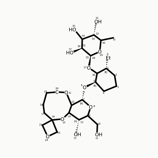 CC[C@@H]1CCC[C@@H](O[C@@H]2OC(CO)[C@H](O)C3OC4(CCCCOC32)COC4)C1O[C@@H]1OC(C)[C@@H](O)C(O)[C@@H]1O